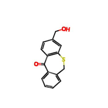 O=C1c2ccccc2CSc2cc(CO)ccc21